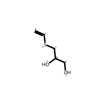 C=CSCC(O)CO